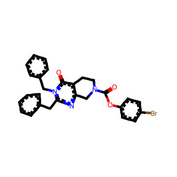 O=C(Oc1ccc(Br)cc1)N1CCc2c(nc(Cc3ccccc3)n(Cc3ccccc3)c2=O)C1